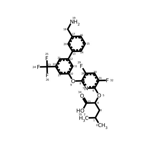 CC(C)CC(Oc1nc(Oc2cc(-c3cccc(CN)c3)cc(C(F)(F)F)c2)c(F)cc1F)C(=O)O